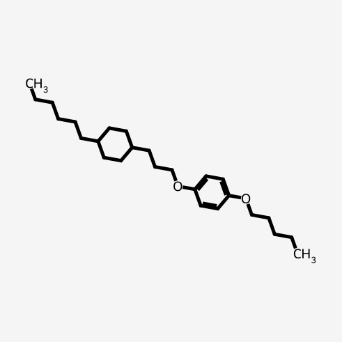 CCCCCCC1CCC(CCCOc2ccc(OCCCCC)cc2)CC1